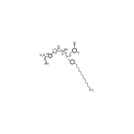 CCCCCCCCCCCCCCc1ccc(C[C@H](COP(=O)(O)OC[C@]2(N)CC[C@H](c3ccc(/C(N)=N\C=N)[nH]3)O2)OCc2cc(F)cc(C#N)c2)cc1